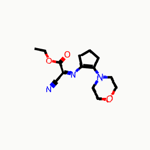 CCOC(=O)C(C#N)=NC1=C(N2CCOCC2)CCC1